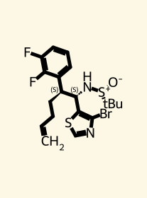 C=CCC[C@@H](c1cccc(F)c1F)[C@H](N[S+]([O-])C(C)(C)C)c1scnc1Br